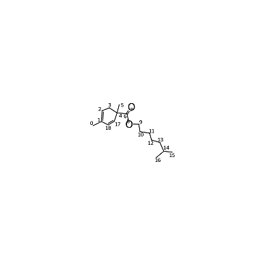 CC1=CCC(C)(C(=O)OCCCCCC(C)C)C=C1